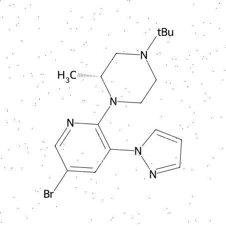 C[C@@H]1CN(C(C)(C)C)CCN1c1ncc(Br)cc1-n1cccn1